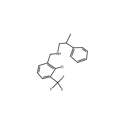 CC(CNCc1cccc(C(F)(F)F)c1Cl)c1ccccc1